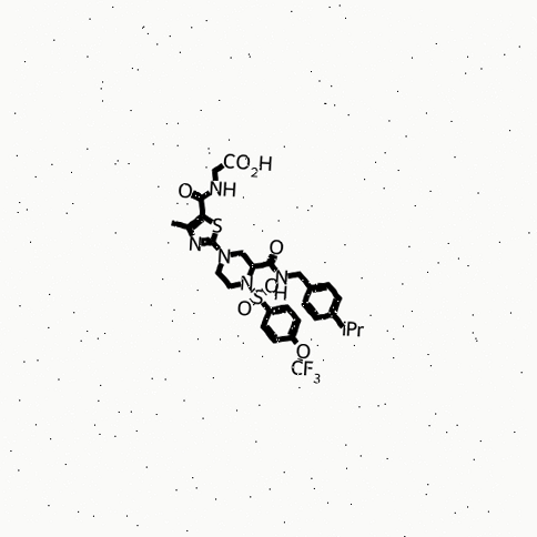 Cc1nc(N2CCN(S(=O)(=O)c3ccc(OC(F)(F)F)cc3)C(C(=O)NCc3ccc(C(C)C)cc3)C2)sc1C(=O)NCC(=O)O